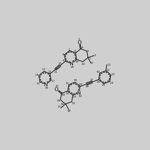 CC1(C)CC(=O)c2ccc(C#Cc3cccnc3)nc2C1.Cc1cccc(C#Cc2ccc3c(n2)CC(C)(C)CC3=O)c1